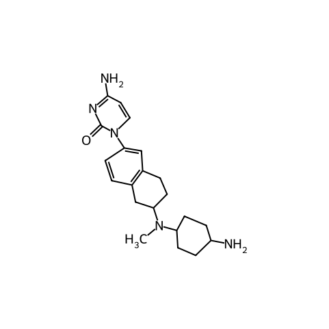 CN(C1CCC(N)CC1)C1CCc2cc(-n3ccc(N)nc3=O)ccc2C1